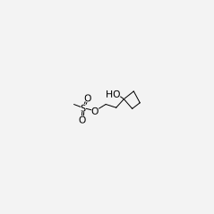 CS(=O)(=O)OCCC1(O)CCC1